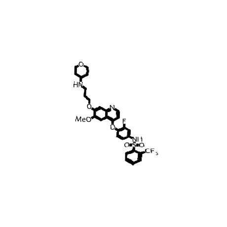 COc1cc2c(Oc3ccc(NS(=O)(=O)c4ccccc4C(F)(F)F)cc3F)ccnc2cc1OCCCNC1CCOCC1